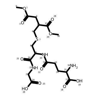 COC(=O)CC(CSCC(NC(=O)CCC(N)C(=O)O)C(=O)NCC(=O)O)C(=O)OC